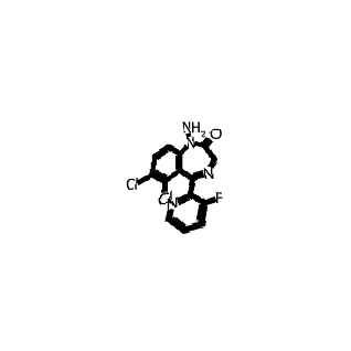 NN1C(=O)CN=C(c2ncccc2F)c2c1ccc(Cl)c2Cl